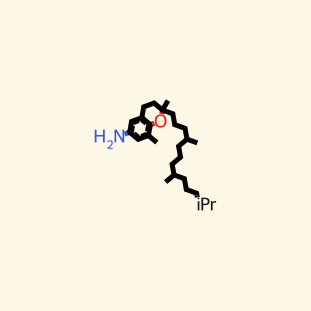 Cc1cc(N)cc2c1OC(C)(CCCC(C)CCCC(C)CCCC(C)C)CC2